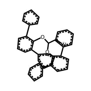 [Al][CH2]C(Oc1c(-c2ccccc2)cccc1-c1ccccc1)Oc1c(-c2ccccc2)cccc1-c1ccccc1